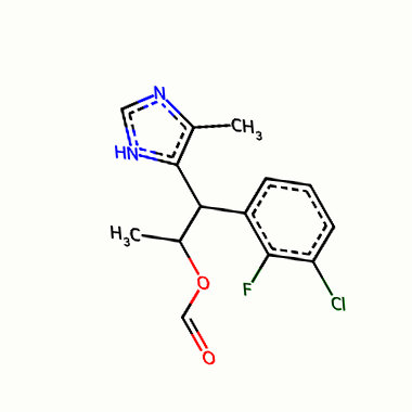 Cc1nc[nH]c1C(c1cccc(Cl)c1F)C(C)OC=O